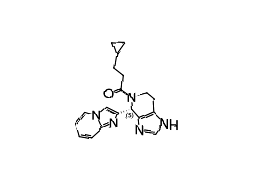 O=C(CCC1CC1)N1CCc2[nH]cnc2[C@@H]1c1cn2ccccc2n1